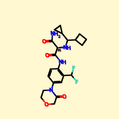 NC(=O)[C@@H](NC(C1CCC1)C1CC1)C(=O)Nc1ccc(N2CCOCC2=O)cc1C(F)F